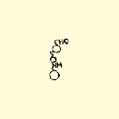 O=CC1CCCCC(Sc2ccc(NCC3CCCCCCCCC3)cc2)CC1